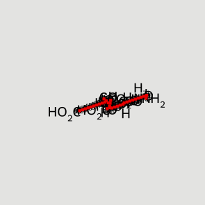 N[C@@H](CCCCNC(=O)COCCOCCNC(=O)COCCOCCNC(=O)[C@H](CCC(=O)O)NC(=O)[C@H](CCC(=O)O)NC(=O)[C@H](CCC(=O)O)NC(=O)CCCCCCCCCCCCCCCCCCC(=O)O)C(=O)I